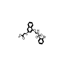 COC(=O)CSc1cc(OCNS(=O)(=O)c2ccccc2Br)c2ccccc2c1